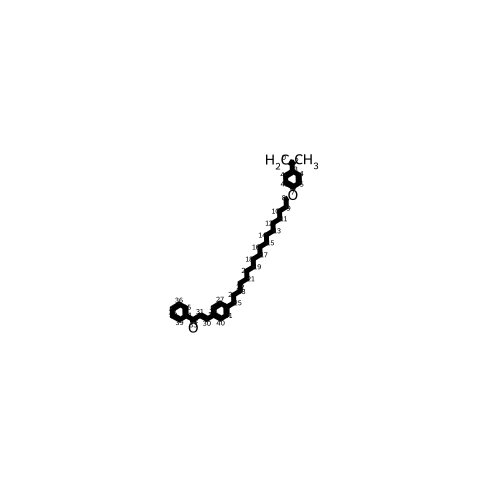 C=C(C)c1ccc(OCCCCCCCCCCCCCCCCCCc2ccc(C=CC(=O)c3ccccc3)cc2)cc1